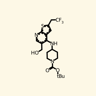 CC(C)(C)OC(=O)N1CCC(Nc2c(CO)cnc3sc(CC(F)(F)F)cc23)CC1